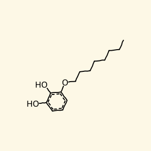 CCCCCCCCOc1cccc(O)c1O